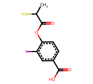 CC(S)C(=O)Oc1ccc(C(=O)O)cc1I